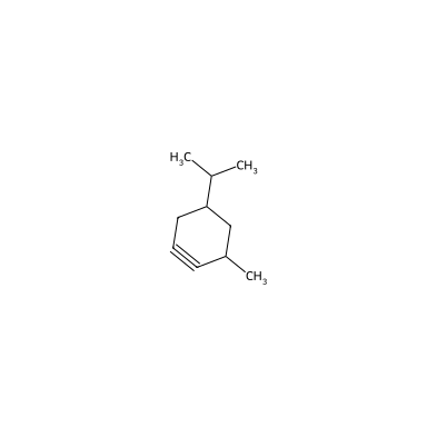 CC1C#CCC(C(C)C)C1